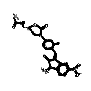 CC(=O)NC[C@H]1CN(c2ccc(C=C3C(=O)N(C)c4ccc([N+](=O)[O-])cc43)c(F)c2)C(=O)O1